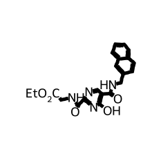 CCOC(=O)CNC(=O)c1ncc(C(=O)NCc2ccc3ccccc3c2)c(O)n1